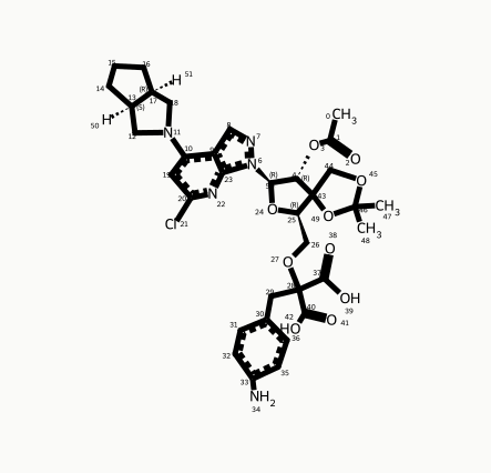 CC(=O)O[C@H]1[C@H](n2ncc3c(N4C[C@H]5CCC[C@H]5C4)cc(Cl)nc32)O[C@H](COC(Cc2ccc(N)cc2)(C(=O)O)C(=O)O)C12COC(C)(C)O2